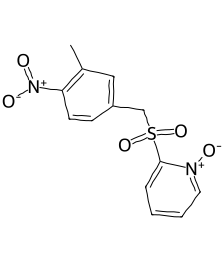 Cc1cc(CS(=O)(=O)c2cccc[n+]2[O-])ccc1[N+](=O)[O-]